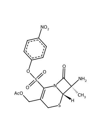 CC(=O)OCC1=C(S(=O)(=O)Oc2ccc([N+](=O)[O-])cc2)N2C(=O)[C@@](C)(N)[C@@H]2SC1